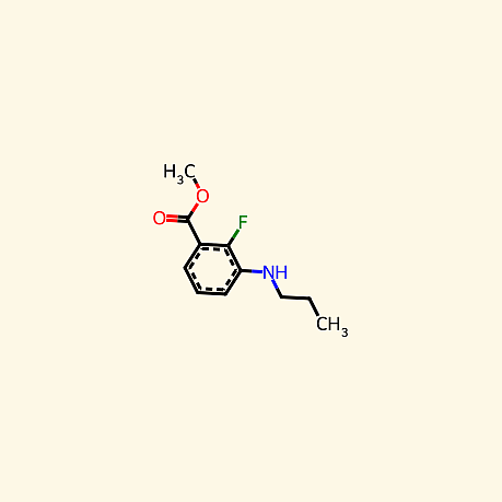 CCCNc1cccc(C(=O)OC)c1F